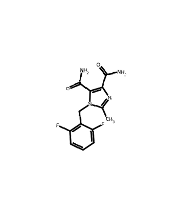 Cc1nc(C(N)=O)c(C(N)=O)n1Cc1c(F)cccc1F